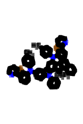 Cc1ccc(N(c2ccc3c(c2)c2c(n3-c3ccccc3)C3=C(c4ccc5c(c4C3(C)C)C=CCC5)C(N(c3ccc(C)cc3)c3cccc4c3sc3cccnc34)C2)c2cccc3c2sc2cccnc23)cc1